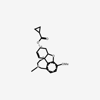 COc1ccc2c3c1OC1C[C@@H](OC(=O)C4CC4)C=C[C@@]31CCN(C)C2